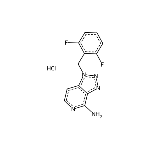 Cl.Nc1nccc2c1nnn2Cc1c(F)cccc1F